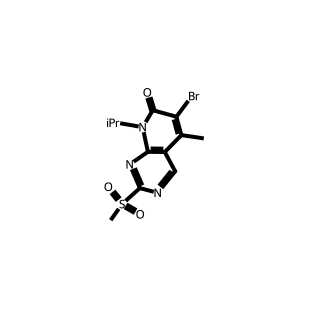 Cc1c(Br)c(=O)n(C(C)C)c2nc(S(C)(=O)=O)ncc12